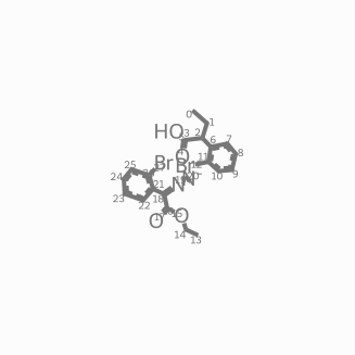 CCC(C(=O)O)c1ccccc1Br.CCOC(=O)C(=[N+]=[N-])c1ccccc1Br